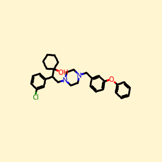 OC1(C(CN2CCN(Cc3cccc(Oc4ccccc4)c3)CC2)c2cccc(Cl)c2)CCCCC1